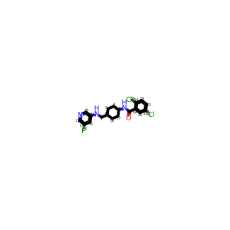 O=C(NC1CCC(CNc2cncc(F)c2)CC1)c1cc(Cl)ccc1Cl